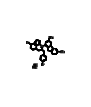 CC(C)(C)c1ccc2c(c1)-c1cc(C(C)(C)C)c[c]([Zr]([C]3=CC=CC3)=[C](Cc3ccc(Br)cc3)Cc3ccc(Br)cc3)c1C2.Cl.Cl